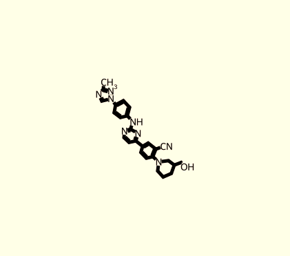 Cc1ncn(-c2ccc(Nc3nccc(-c4ccc(N5CCCC(CO)C5)c(C#N)c4)n3)cc2)n1